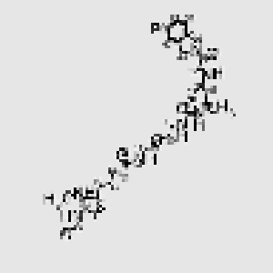 CNC1C(NC=O)CSC1CCCCC(=O)NCCOCCNC(=O)NC1(C)CCC(NCC(=O)N2Cc3ccc(F)cc3C2)C1